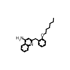 CCCCCCOc1ccccc1Cc1cc(N)c2ccccc2n1